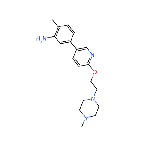 Cc1ccc(-c2ccc(OCCN3CCN(C)CC3)nc2)cc1N